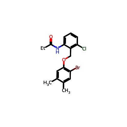 CCC(=O)Nc1cccc(Cl)c1COc1cc(C)c(C)cc1Br